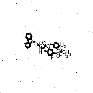 CC(C)(C)OC(=O)c1ccc(C[C@H](NC(=O)OCC2c3ccccc3-c3ccccc32)C(=O)OCc2ccccc2)cc1F